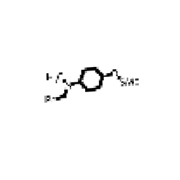 CSO[C@H]1CC[C@@H](N(C)CC(C)C)CC1